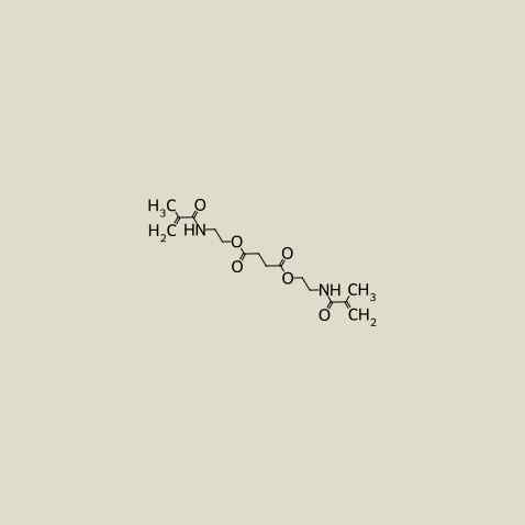 C=C(C)C(=O)NCCOC(=O)CCC(=O)OCCNC(=O)C(=C)C